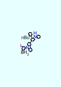 Bc1cc(I)cc(-n2c3ccccc3c3cc(-c4ccc(Nc5ccccc5)c(-c5ccccc5CCCC)c4)ccc32)c1